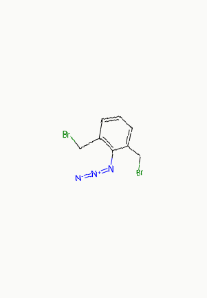 [N-]=[N+]=Nc1c(CBr)cccc1CBr